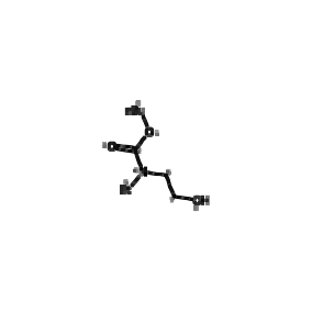 CCCCOC(=O)N(CC)CCO